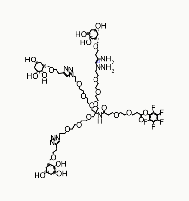 N/C(=C\N(N)CCOCCOCCOCC(COCCOCCOCCn1cc(CCOC[C@H]2C[C@@H](O)C[C@@H](O)[C@H]2O)nn1)(COCCOCCOCCn1cc(CCOC[C@H]2C[C@@H](O)C[C@@H](O)[C@H]2O)nn1)NC(=O)CCOCCOCCC(=O)Oc1c(F)c(F)c(F)c(F)c1F)CCOC[C@H]1C[C@@H](O)C[C@@H](O)[C@H]1O